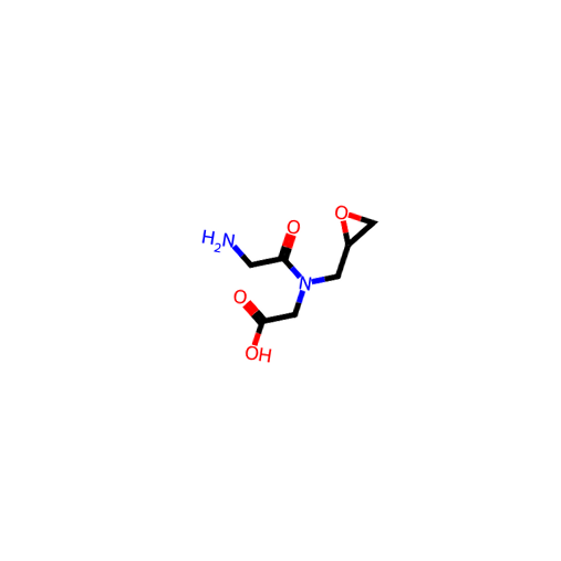 NCC(=O)N(CC(=O)O)CC1CO1